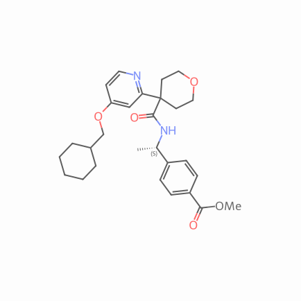 COC(=O)c1ccc([C@H](C)NC(=O)C2(c3cc(OCC4CCCCC4)ccn3)CCOCC2)cc1